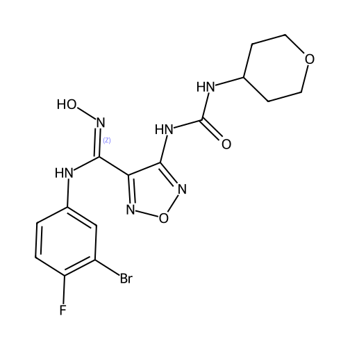 O=C(Nc1nonc1/C(=N/O)Nc1ccc(F)c(Br)c1)NC1CCOCC1